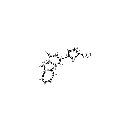 Cc1nc(-c2cnc(C(=O)O)o2)cc2c1[nH]c1ccccc12